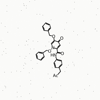 CC(=O)Cc1ccc(NC(=O)c2cc(=O)c(OCc3ccccc3)cn2OCc2ccccc2)cc1